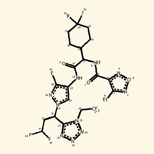 CCc1nonc1C(=O)NC(C(=O)Nc1cn(C(CC(F)F)c2nnnn2CC(F)(F)F)nc1F)C1CCC(F)(F)CC1